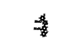 CNCc1cc(-c2nc(-c3cc(F)ccc3OC)no2)ccc1-c1ccccc1C